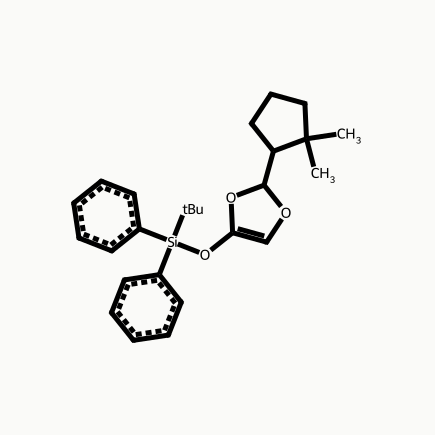 CC1(C)CCCC1C1OC=C(O[Si](c2ccccc2)(c2ccccc2)C(C)(C)C)O1